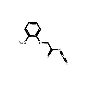 COc1ccccc1OCC(=O)N=C=O